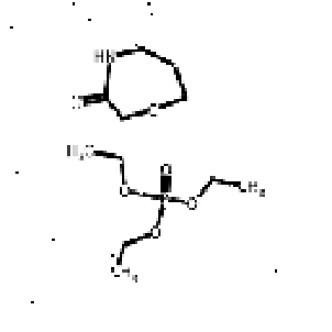 CCOP(=O)(OCC)OCC.O=C1CCCCCN1